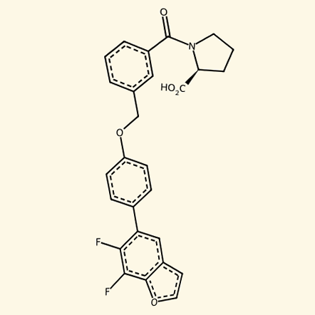 O=C(O)[C@@H]1CCCN1C(=O)c1cccc(COc2ccc(-c3cc4ccoc4c(F)c3F)cc2)c1